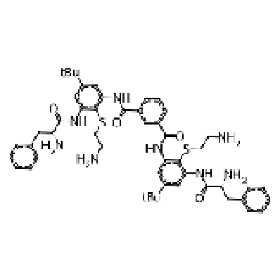 CC(C)(C)c1cc(NC(=O)c2cccc(C(=O)Nc3cc(C(C)(C)C)cc(NC(=O)[C@H](N)Cc4ccccc4)c3SCCN)c2)c(SCCN)c(NC(=O)[C@H](N)Cc2ccccc2)c1